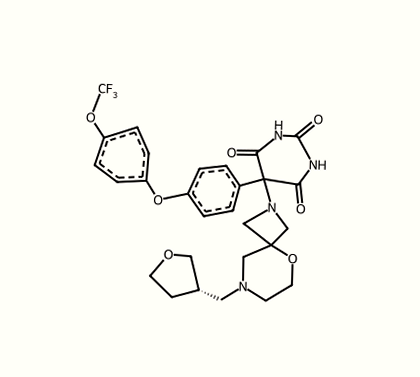 O=C1NC(=O)C(c2ccc(Oc3ccc(OC(F)(F)F)cc3)cc2)(N2CC3(CN(C[C@@H]4CCOC4)CCO3)C2)C(=O)N1